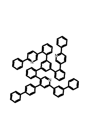 c1ccc(-c2ccc(-c3cc(-c4cccc(-c5ccccc5)c4)ncc3-c3ccccc3-c3cc(-c4ccccc4-c4ccc(-c5ccccc5)nc4)cc(-c4ccccc4-c4ccc(-c5ccccc5)nc4)c3)cc2)cc1